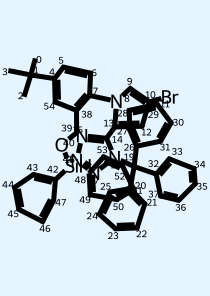 CC(C)(C)c1ccc(-n2cc(Br)cc2-c2nnnn2C(c2ccccc2)(c2ccccc2)c2ccccc2)c(CO[SiH](c2ccccc2)c2ccccc2)c1